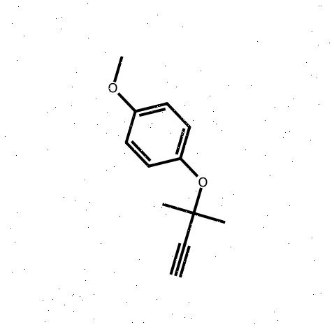 C#CC(C)(C)Oc1ccc(OC)cc1